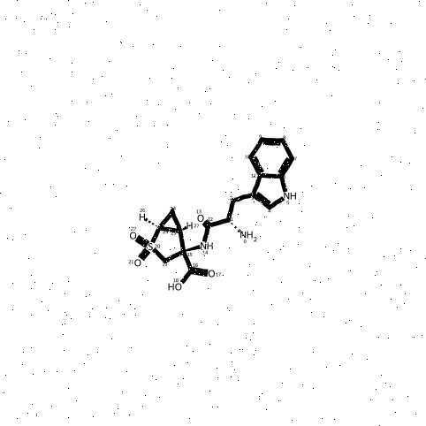 N[C@@H](Cc1c[nH]c2ccccc12)C(=O)N[C@@]1(C(=O)O)CS(=O)(=O)[C@H]2C[C@H]21